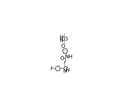 Cc1nnc(COc2ccc(NC(=O)C=Cc3cnn(C)c3-c3ccc(F)cc3)cc2)o1